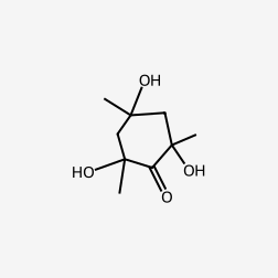 CC1(O)CC(C)(O)C(=O)C(C)(O)C1